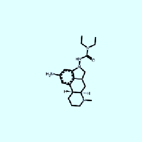 CCN(CC)C(=O)NN1CC2C[C@@H]3[C@H](CCCN3C)c3cc(N)cc1c32